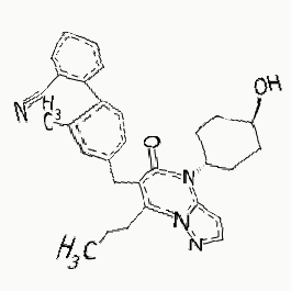 CCCc1c(Cc2ccc(-c3ccccc3C#N)c(C)c2)c(=O)n([C@H]2CC[C@H](O)CC2)c2ccnn12